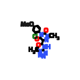 COc1ccc(-n2c(=O)c(C(=O)Nc3nnnn3C)nn(C)c2=O)c(Cl)c1